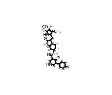 Cc1cc(OC(=O)O)[nH]c1/C=C1\C(=O)Nc2cc(NC(=O)c3c[nH]cc(-c4ccc(F)cc4)c3=O)ccc21